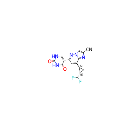 N#Cc1cn2nc(-c3c[nH]c(=O)[nH]c3=O)cc([C@H]3C[C@@H]3C(F)F)c2n1